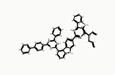 C=CCC(C=C)c1nc(-c2ccc3c(c2)sc2cccc(-c4nc(-c5ccccc5)nc(-c5ccc(-c6ccccc6)cc5)n4)c23)nc2c1sc1ccccc12